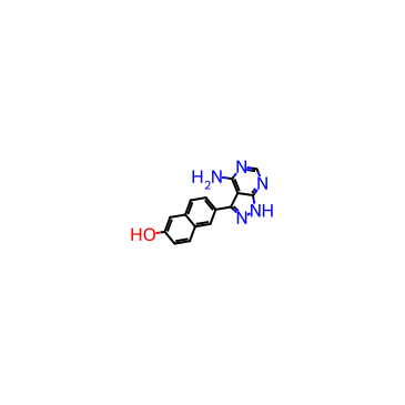 Nc1ncnc2[nH]nc(-c3ccc4cc(O)ccc4c3)c12